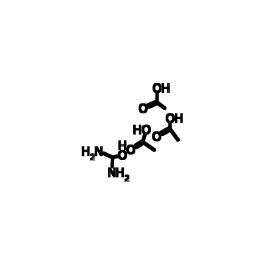 CC(=O)O.CC(=O)O.CC(=O)O.NC(N)O